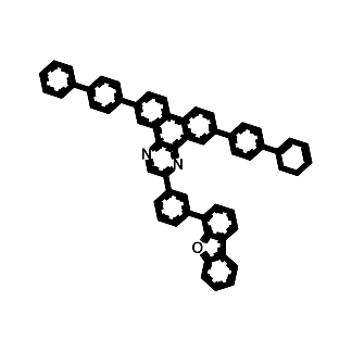 C1=CCCC(c2ccc(-c3ccc4c5ccc(-c6ccc(-c7ccccc7)cc6)cc5c5ncc(-c6cccc(-c7cccc8c7oc7ccccc78)c6)nc5c4c3)cc2)=C1